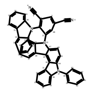 N#Cc1cc(C#N)c(-n2c3ccccc3c3ccccc32)c(-n2c3ccccc3c3c4c5ccccc5n(-c5ccccc5)c4ccc32)c1